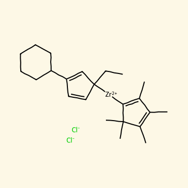 CC[C]1([Zr+2][C]2=C(C)C(C)=C(C)C2(C)C)C=CC(C2CCCCC2)=C1.[Cl-].[Cl-]